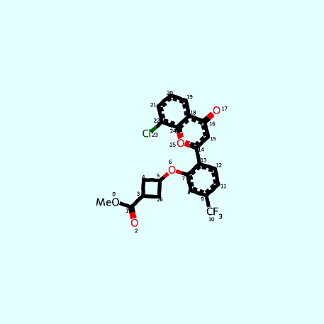 COC(=O)C1CC(Oc2cc(C(F)(F)F)ccc2-c2cc(=O)c3cccc(Cl)c3o2)C1